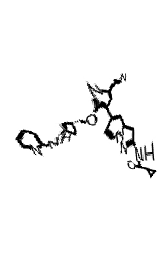 N#Cc1cc(-c2ccn3nc(NC(=O)C4CC4)cc3c2)c(OC[C@H]2C[C@@H](Nc3ccccn3)C2)cn1